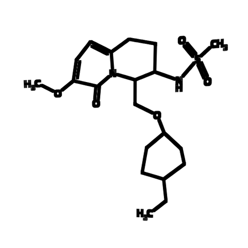 CCC1CCC(OCC2C(NS(C)(=O)=O)CCc3ccc(OC)c(=O)n32)CC1